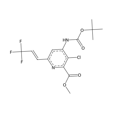 COC(=O)c1nc(C=CC(F)(F)F)cc(NC(=O)OC(C)(C)C)c1Cl